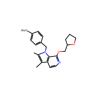 COc1ccc(Cn2c(C)c(C)c3ccnc(OCC4CCCO4)c32)cc1